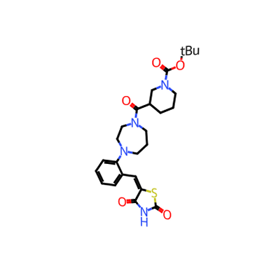 CC(C)(C)OC(=O)N1CCCC(C(=O)N2CCCN(c3ccccc3/C=C3/SC(=O)NC3=O)CC2)C1